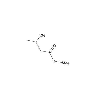 CSOC(=O)CC(C)O